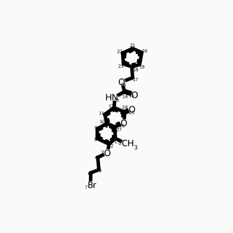 Cc1c(OCCCBr)ccc2cc(NC(=O)OCc3ccccc3)c(=O)oc12